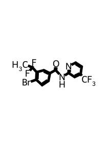 CC(F)(F)c1cc(C(=O)Nc2cc(C(F)(F)F)ccn2)ccc1Br